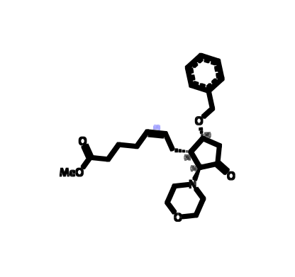 COC(=O)CCC/C=C\C[C@H]1[C@H](N2CCOCC2)C(=O)C[C@H]1OCc1ccccc1